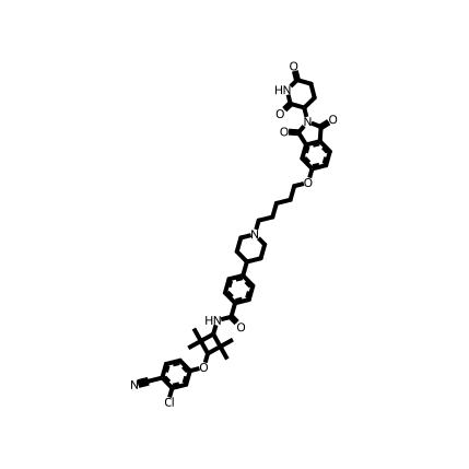 CC1(C)C(NC(=O)c2ccc(C3CCN(CCCCCOc4ccc5c(c4)C(=O)N(C4CCC(=O)NC4=O)C5=O)CC3)cc2)C(C)(C)C1Oc1ccc(C#N)c(Cl)c1